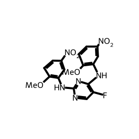 COc1ccc([N+](=O)[O-])cc1Nc1ncc(F)c(Nc2cc([N+](=O)[O-])ccc2OC)n1